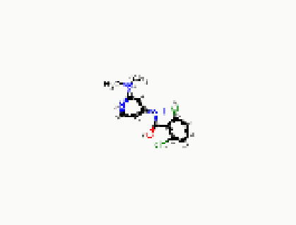 CN(C)c1cc(NC(=O)c2c(Cl)cccc2Cl)ccn1